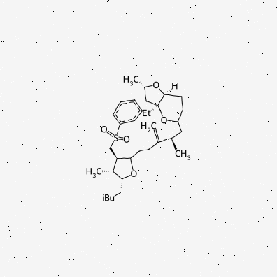 C=C(CCC1O[C@H](CC(C)CC)[C@H](C)[C@H]1CS(=O)(=O)c1ccccc1)[C@H](C)CC1CC[C@@H]2O[C@@H](C)C[C@]2(CC)O1